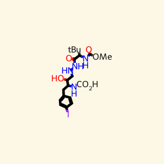 COC(=O)NC(C(=O)NNCC(O)C(Cc1ccc(I)cc1)NC(=O)O)C(C)(C)C